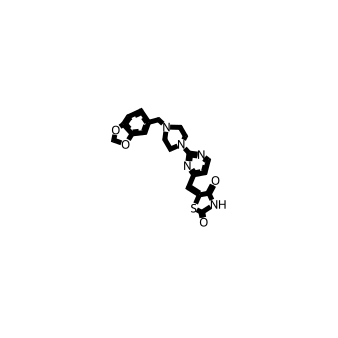 O=C1NC(=O)/C(=C\c2ccnc(N3CCN(Cc4ccc5c(c4)OCO5)CC3)n2)S1